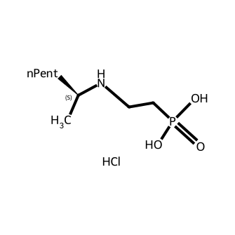 CCCCC[C@H](C)NCCP(=O)(O)O.Cl